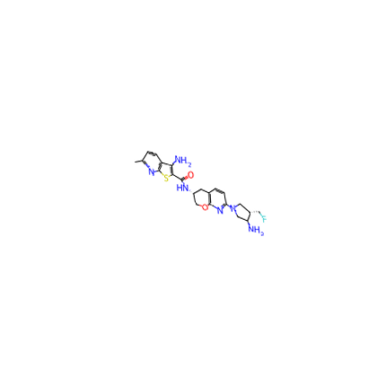 Cc1ccc2c(N)c(C(=O)N[C@H]3COc4nc(N5C[C@H](CF)[C@@H](N)C5)ccc4C3)sc2n1